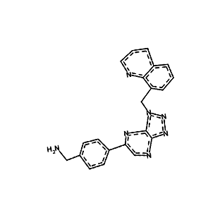 NCc1ccc(-c2cnc3nnn(Cc4cccc5cccnc45)c3n2)cc1